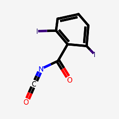 O=C=NC(=O)c1c(I)cccc1I